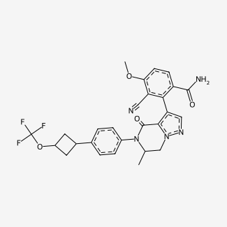 COc1ccc(C(N)=O)c(-c2cnn3c2C(=O)N(c2ccc(C4CC(OC(F)(F)F)C4)cc2)C(C)C3)c1C#N